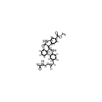 CCOC(=O)c1ccc2c(c1)NC(=O)C2=C(Nc1ccc(CN(C)CCNC(C)=O)cc1)c1ccccc1